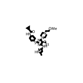 CCOc1c(Nc2cc(C)[nH]n2)nc(Sc2ccc(NC(=O)C3CC3)cc2)nc1N1CCN(CCOC)CC1